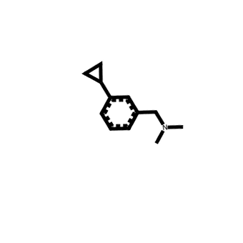 CN(C)Cc1cccc(C2CC2)c1